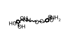 NS(=O)(=O)c1ccc(COCCOCCCCCCNC[C@H](O)c2ccc(O)c(CO)c2)cc1